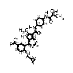 Cc1[nH]c2c(-c3cc(C(F)F)ccc3OCC3CC3)ncnc2c1C(=O)NC1CCC(NC(=O)[C@H](C)O)CC1